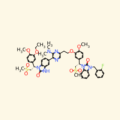 CCOc1cc([C@@H](CS(C)(=O)=O)n2c(=O)[nH]c3cc(-c4ncc(CCOc5cc([C@@H](CS(C)(=O)=O)n6c(=O)n(Cc7ccccc7F)c7ccccc76)ccc5OC)nc4N(C)C)ccc32)ccc1OC